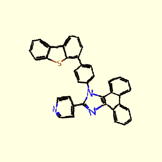 c1ccc2c(c1)sc1c(-c3ccc(-n4c(-c5ccncc5)nc5c6ccccc6c6ccccc6c54)cc3)cccc12